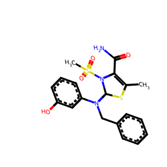 CC1=C(C(N)=O)N(S(C)(=O)=O)C(N(Cc2ccccc2)c2cccc(O)c2)S1